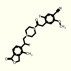 COc1cc(CC(=O)N2CCN(CC(F)c3ccc4c(c3C)COC4=O)CC2)c(F)cc1C#N